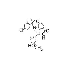 C=C[C@]1(O)CCO[C@H]([C@@H]2CC[C@H]2CN2C[C@@]3(CCCc4cc(Cl)ccc43)COc3ccc(C(=O)O)cc32)C1